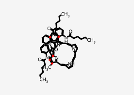 CCCCCC(=O)Nc1ccccc1-c1c(-c2ccccc2NC(=O)CCCCC)c2c(-c3ccccc3NC(=O)CCCCC)c3nc(cc4ccc(cc5nc(cc1n2-c1ccccc1NC(=O)CCCCC)C=C5)[nH]4)C=C3